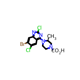 C[C@H]1CN(C(=O)O)CCN1c1nc(Cl)nc2cc(Br)c(Cl)cc12